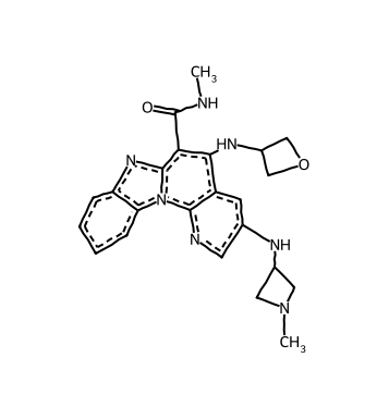 CNC(=O)c1c(NC2COC2)c2cc(NC3CN(C)C3)cnc2n2c1nc1ccccc12